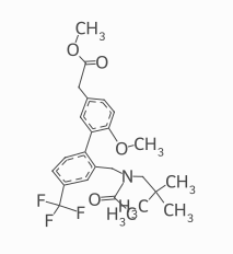 COC(=O)Cc1ccc(OC)c(-c2ccc(C(F)(F)F)cc2CN(CC(C)(C)C)C(C)=O)c1